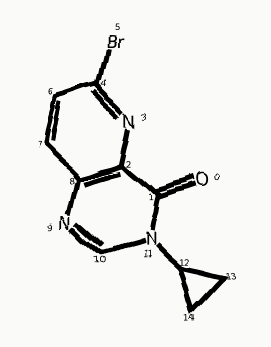 O=c1c2nc(Br)ccc2ncn1C1CC1